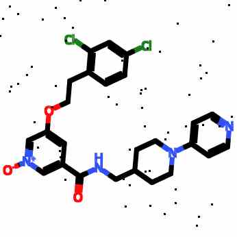 O=C(NCC1CCN(c2ccncc2)CC1)c1cc(OCCc2ccc(Cl)cc2Cl)c[n+]([O-])c1